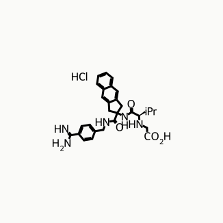 CC(C)[C@@H](NCC(=O)O)C(=O)NC1(C(=O)NCc2ccc(C(=N)N)cc2)Cc2cc3ccccc3cc2C1.Cl